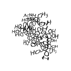 CC(=O)NC1C(O)[C@H](O[C@@H]2OC(CO[C@]3(OC=O)C[C@@H](O)[C@@H](C)C([C@H](O)[C@H](O)CO)O3)[C@H](O)[C@H](O)C2O)[C@H](CO)O[C@H]1OC1[C@@H](OCC2O[C@@H](O[C@@H]3C(CO)O[C@@H](O[C@@H]4C(CO)O[C@@H](C)C(NC(C)=O)[C@H]4O)C(NC(C)=O)[C@H]3O)C(O)[C@@H](O)[C@@H]2O)OC(CO)[C@@H](O)[C@@H]1O